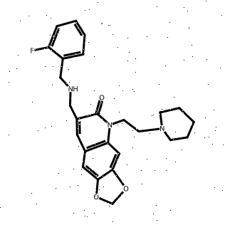 O=c1c(CNCc2ccccc2F)cc2cc3c(cc2n1CCN1CCCCC1)OCO3